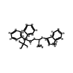 CC(C)(C)[Si](OCC(N)Cc1c[nH]c2ccccc12)(c1ccccc1)c1ccccc1